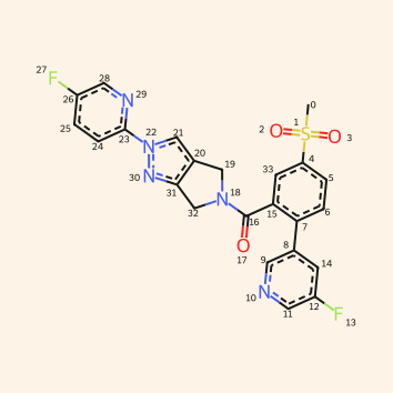 CS(=O)(=O)c1ccc(-c2cncc(F)c2)c(C(=O)N2Cc3cn(-c4ccc(F)cn4)nc3C2)c1